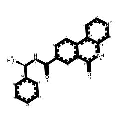 C[C@@H](NC(=O)c1ccc2c(c1)c(=O)[nH]c1cnccc12)c1ccccc1